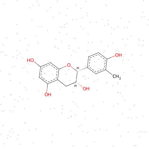 Cc1cc([C@H]2Oc3cc(O)cc(O)c3C[C@H]2O)ccc1O